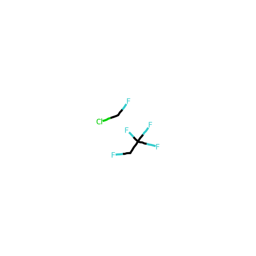 FCC(F)(F)F.FCCl